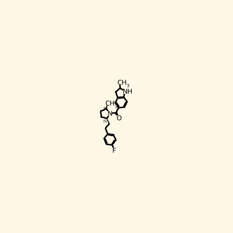 CC1Cc2cc(C(=O)N3[C@@H](CCc4ccc(F)cc4)CC[C@H]3C)ccc2N1